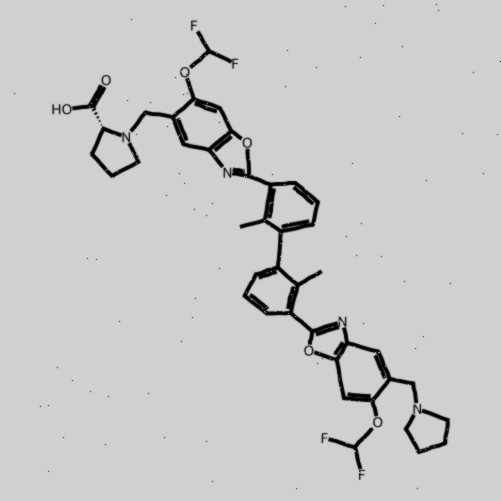 Cc1c(-c2nc3cc(CN4CCCC4)c(OC(F)F)cc3o2)cccc1-c1cccc(-c2nc3cc(CN4CCC[C@@H]4C(=O)O)c(OC(F)F)cc3o2)c1C